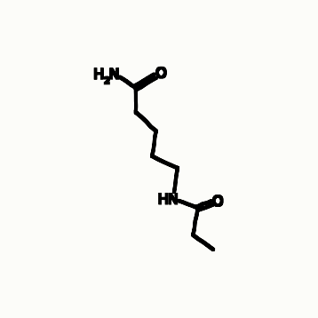 CCC(=O)NCCCCC(N)=O